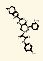 CN1CCc2nc(C(=O)NC(CNC(=O)C(=O)Nc3ccc(Cl)cn3)C(=O)Nc3cccnc3)sc2C1.Cl